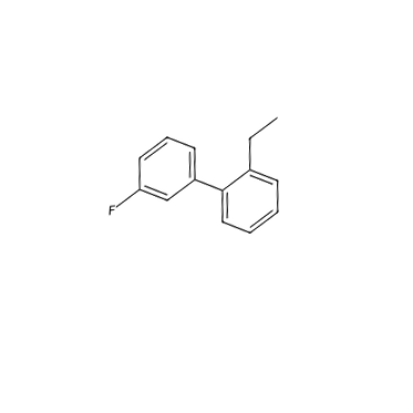 CCc1ccccc1-c1cccc(F)c1